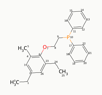 CCc1cc(C)c(OCCP(c2ccccc2)c2ccccc2)c(CC)c1